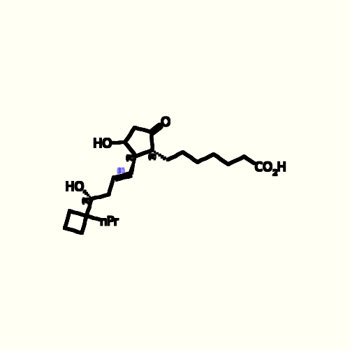 CCCC1([C@H](O)C/C=C/[C@H]2C(O)CC(=O)[C@@H]2CCCCCCC(=O)O)CCC1